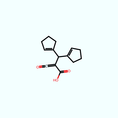 O=C=C(C(=O)O)C(C1=CCCC1)C1=CCCC1